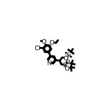 CCOc1cc(-c2cncc(C(CO[Si](C)(C)C(C)(C)C)CB3OC(C)(C)C(C)(C)O3)c2)cc(Cl)c1OC